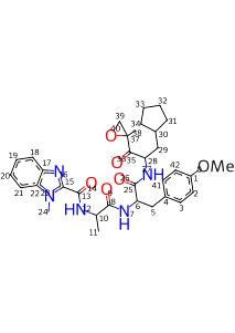 COc1ccc(CC(NC(=O)C(C)NC(=O)c2nc3ccccc3n2C)C(=O)NC(CC2CCCC2)C(=O)C2(C)CO2)cc1